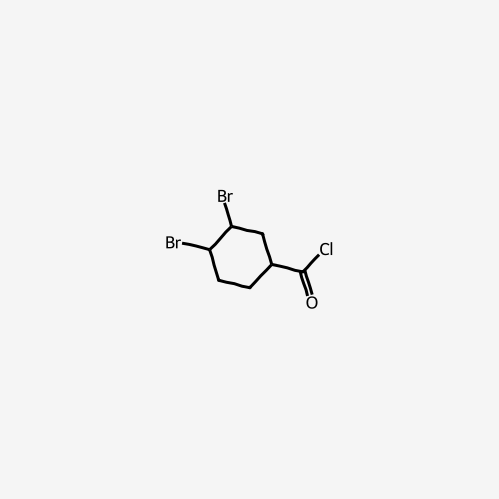 O=C(Cl)C1CCC(Br)C(Br)C1